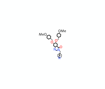 COc1ccc(COc2cc3ncn(CC45CCN(CC4)CC5)c(=O)c3cc2OCc2ccc(OC)cc2)cc1